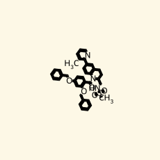 Cc1cccnc1-c1ccc2c(c1)CCC(CNS(C)(=O)=O)N2C(=O)c1ccc(OCc2ccccc2)cc1OCc1ccccc1